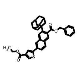 CCOC(=O)c1csc(-c2ccc3cc(C(=O)OCc4ccccc4)c(C45CC6CC(CC(C6)C4)C5)cc3c2)c1